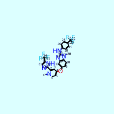 C=N/C(=C\C(=C/C)Oc1ccc2c(c1)nc(Nc1ccc(C(F)(F)F)cc1)n2C)c1ncc(C(F)(F)F)[nH]1